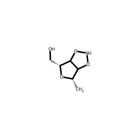 C[C@@H]1O[C@H](CO)C2ONOC21